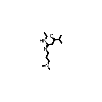 CCN/C(CC(=O)C(C)C)=N/CCCN(C)C